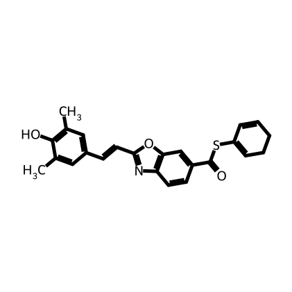 Cc1cc(/C=C/c2nc3ccc(C(=O)SC4=CCCC=C4)cc3o2)cc(C)c1O